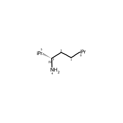 CC(C)CC[C@H](N)C(C)C